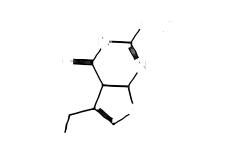 CCOC(=O)C1=NC2SC=C(CI)C2C(=O)N1